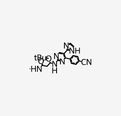 CC(C)(C)OC(CC([NH])=O)Nc1ncc(-c2ncc[nH]2)c(-c2ccc(C#N)cc2)n1